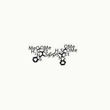 CCC([SiH2]C(OC)OC)C(CSSSSSSCC(c1nc2ccccc2s1)C(CC)[SiH2]C(OC)OC)c1nc2ccccc2s1